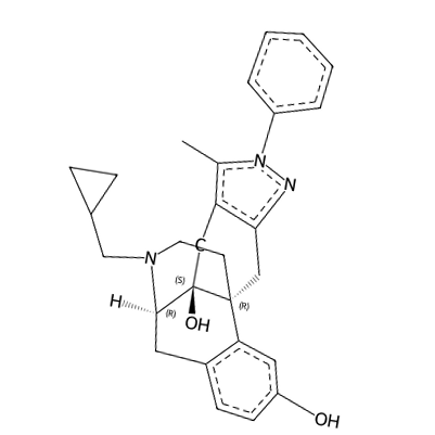 Cc1c2c(nn1-c1ccccc1)C[C@]13CCN(CC4CC4)[C@H](Cc4ccc(O)cc41)[C@]3(O)C2